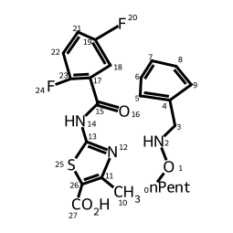 CCCCCONCc1ccccc1.Cc1nc(NC(=O)c2cc(F)ccc2F)sc1C(=O)O